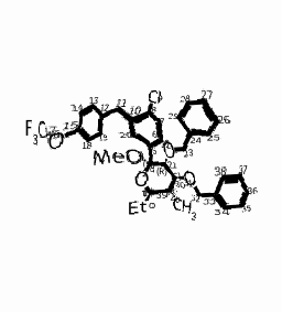 CC[C@H]1O[C@@](OC)(c2ccc(Cl)c(Cc3ccc(OC(F)(F)F)cc3)c2)[C@H](OCc2ccccc2)[C@@H](OCc2ccccc2)[C@@H]1C